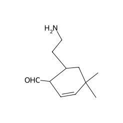 CC1(C)C=CC(C=O)C(CCN)C1